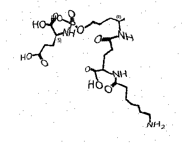 C[C@H](CCCOP(=O)(O)N[C@@H](CCC(=O)O)C(=O)O)NC(=O)CCC(NC(=O)CCCCCN)C(=O)O